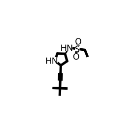 CCS(=O)(=O)N[C@@H]1CNC(C#CC(C)(C)C)C1